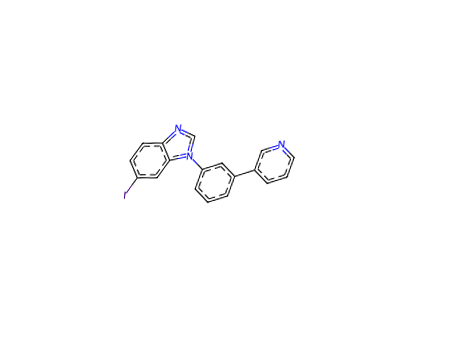 Ic1ccc2ncn(-c3cccc(-c4cccnc4)c3)c2c1